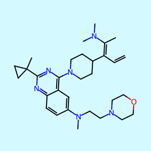 C=CC(=C(C)N(C)C)C1CCN(c2nc(C3(C)CC3)nc3ccc(N(C)CCN4CCOCC4)cc23)CC1